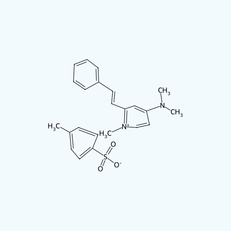 CN(C)c1cc[n+](C)c(C=Cc2ccccc2)c1.Cc1ccc(S(=O)(=O)[O-])cc1